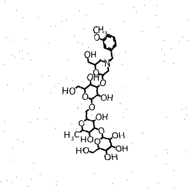 COc1cccc(CN2CC(CO)OC(OC3C(O)C(CO)OC(OCC4OC(C)C(O)C(OC5OC(CO)C(O)C(O)C5O)C4O)C3O)C2)c1